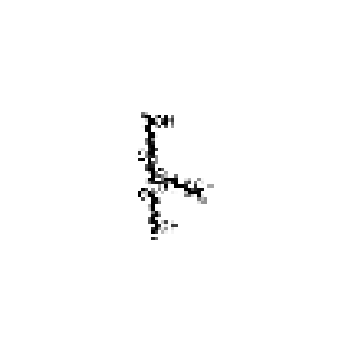 CC(O)CCCCC(=O)OCC(COC(=O)CCCCC(C)O)OC(=O)CCCCC(C)O